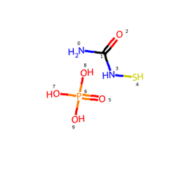 NC(=O)NS.O=P(O)(O)O